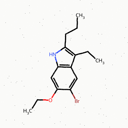 CCCc1[nH]c2cc(OCC)c(Br)cc2c1CC